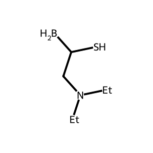 BC(S)CN(CC)CC